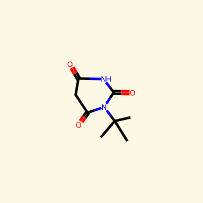 CC(C)(C)N1C(=O)CC(=O)NC1=O